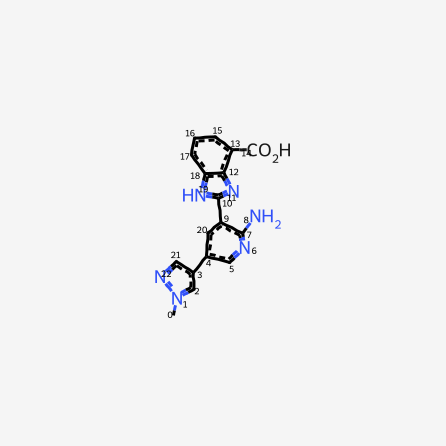 Cn1cc(-c2cnc(N)c(-c3nc4c(C(=O)O)cccc4[nH]3)c2)cn1